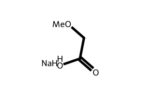 COCC(=O)O.[NaH]